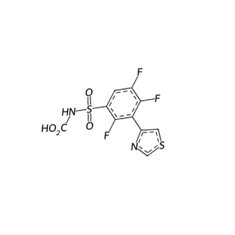 O=C(O)NS(=O)(=O)c1cc(F)c(F)c(-c2cscn2)c1F